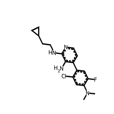 CN(C)c1cc(Cl)c(-c2ccnc(NCCC3CC3)c2N)cc1F